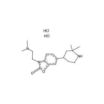 CN(C)CCn1c(=O)oc2cc(C3CCNC(C)(C)C3)ccc21.Cl.Cl